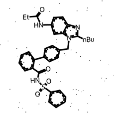 CCCCc1nc2ccc(NC(=O)CC)cc2n1Cc1ccc(-c2ccccc2C(=O)NS(=O)(=O)c2ccccc2)cc1